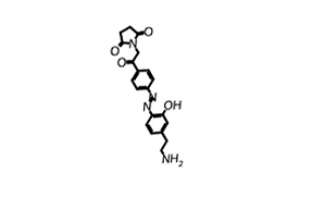 NCCc1ccc(/N=N/c2ccc(C(=O)CN3C(=O)CCC3=O)cc2)c(O)c1